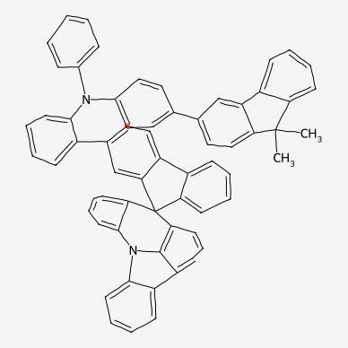 CC1(C)c2ccccc2-c2cc(-c3ccc(N(c4ccccc4)c4ccccc4-c4ccc5c(c4)C4(c6ccccc6-5)c5ccccc5-n5c6ccccc6c6cccc4c65)cc3)ccc21